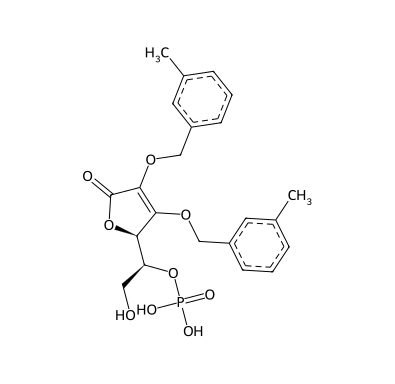 Cc1cccc(COC2=C(OCc3cccc(C)c3)[C@@H]([C@H](CO)OP(=O)(O)O)OC2=O)c1